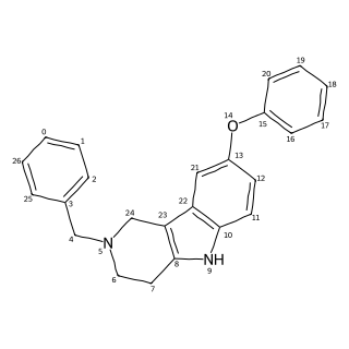 c1ccc(CN2CCc3[nH]c4ccc(Oc5ccccc5)cc4c3C2)cc1